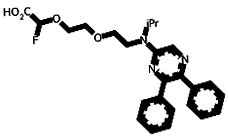 CC(C)N(CCOCCOC(F)C(=O)O)c1cnc(-c2ccccc2)c(-c2ccccc2)n1